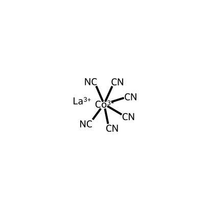 N#[C][Co-3]([C]#N)([C]#N)([C]#N)([C]#N)[C]#N.[La+3]